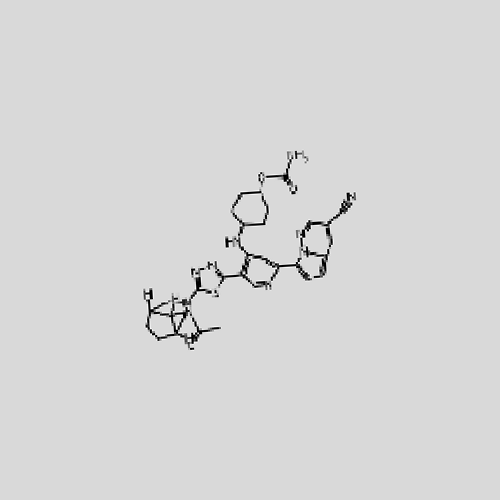 CC(=O)N[C@H]1[C@@H]2CC[C@H]1CN(c1nnc(-c3cnc(-c4ccc5cc(C#N)cnn45)cc3NC3CCC(OC(N)=O)CC3)s1)C2